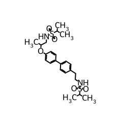 CC(CNS(=O)(=O)C(C)C)Oc1ccc(-c2ccc(CCNS(=O)(=O)C(C)C)cc2)cc1